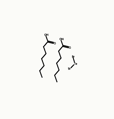 Br[Te]Br.CCCCCCC(=O)O.CCCCCCC(=O)O